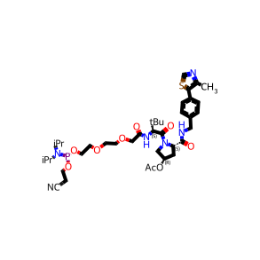 CC(=O)O[C@@H]1C[C@@H](C(=O)NCc2ccc(-c3scnc3C)cc2)N(C(=O)[C@@H](NC(=O)COCCOCCOP(OCCC#N)N(C(C)C)C(C)C)C(C)(C)C)C1